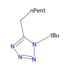 CCCCCCc1nnnn1C(C)(C)C